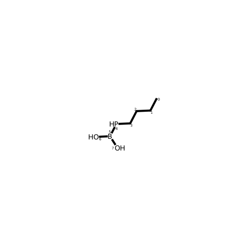 CCCCPB(O)O